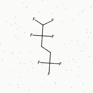 F[C](F)C(F)(F)CCC(F)(F)F